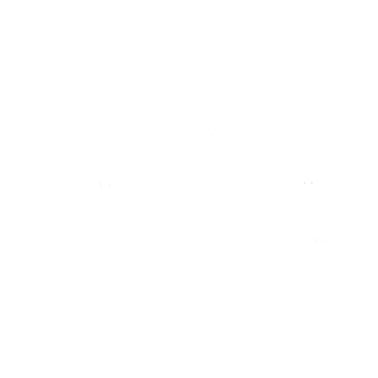 C/C=C/CC(C)C1CC(=O)OC1=O